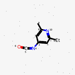 CCc1cc(N=C=O)cc(C)n1